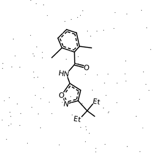 CCC(C)(CC)c1cc(NC(=O)c2c(C)cccc2C)on1